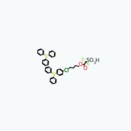 Clc1ccc([S+](c2ccccc2)c2ccccc2)cc1.O=C(OCCCCCl)C(F)(F)S(=O)(=O)O.c1ccc([S+](c2ccccc2)c2ccccc2)cc1